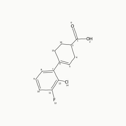 O=C(O)C1CC=C(c2cccc(F)c2Cl)CC1